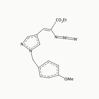 CCOC(=O)C(=Cc1cnn(Cc2ccc(OC)cc2)c1)N=[N+]=[N-]